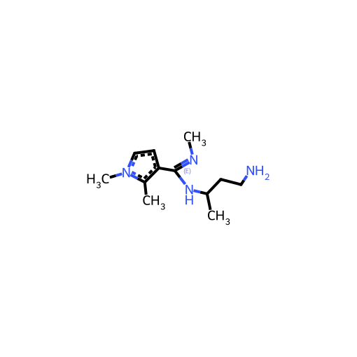 C/N=C(/NC(C)CCN)c1ccn(C)c1C